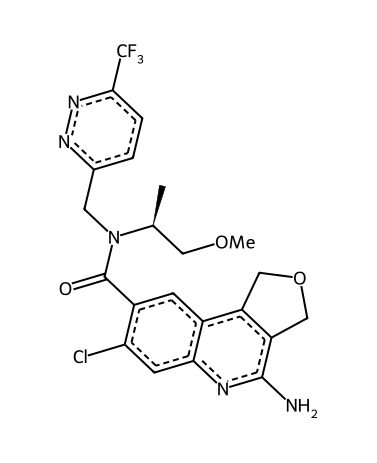 COC[C@H](C)N(Cc1ccc(C(F)(F)F)nn1)C(=O)c1cc2c3c(c(N)nc2cc1Cl)COC3